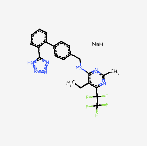 CCc1c(NCc2ccc(-c3ccccc3-c3nnn[nH]3)cc2)nc(C)nc1C(F)(F)C(F)(F)F.[NaH]